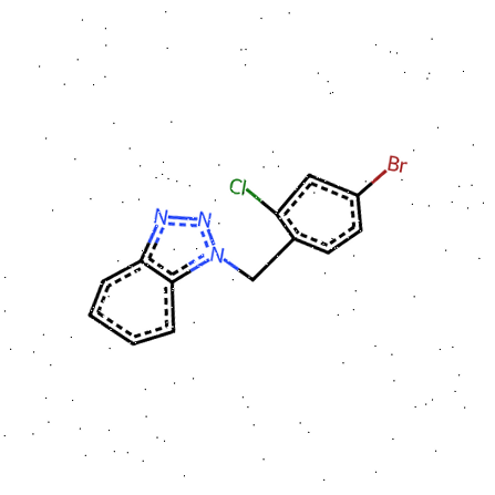 Clc1cc(Br)ccc1Cn1nnc2ccccc21